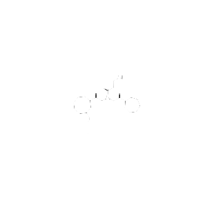 CCSSCC1CCCCCC(C(=O)CN(CC(=O)C2CCCCCC2)C(=O)CCN)C1